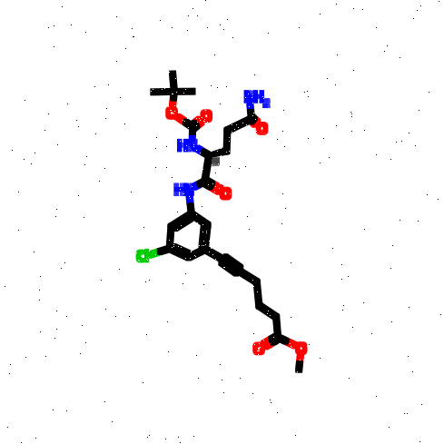 COC(=O)CCCC#Cc1cc(Cl)cc(NC(=O)[C@H](CCC(N)=O)NC(=O)OC(C)(C)C)c1